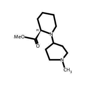 COC(=O)[C@H]1CCCCN1C1CCN(C)CC1